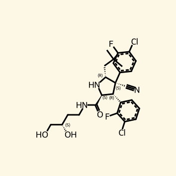 CC(C)(C)C[C@H]1N[C@H](C(=O)NCC[C@H](O)CO)[C@@H](c2cccc(Cl)c2F)[C@]1(C#N)c1ccc(Cl)c(F)c1